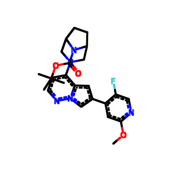 COc1cc(-c2cc3c(N4CC5CCC(C4)N5C(=O)OC(C)(C)C)ccnn3c2)c(F)cn1